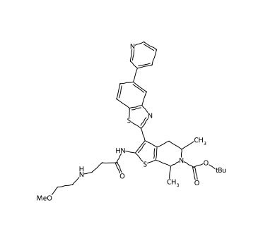 COCCNCCC(=O)Nc1sc2c(c1-c1nc3cc(-c4cccnc4)ccc3s1)CC(C)N(C(=O)OC(C)(C)C)C2C